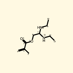 C=C(C)C(=O)OCC(NCC)NCC